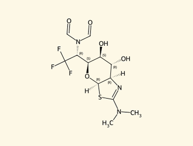 CN(C)C1=N[C@@H]2[C@@H](O)[C@H](O)[C@H]([C@@H](N(C=O)C=O)C(F)(F)F)O[C@@H]2S1